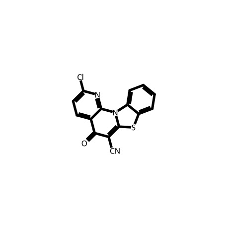 N#Cc1c(=O)c2ccc(Cl)nc2n2c1sc1ccccc12